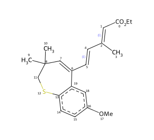 CCOC(=O)/C=C(C)/C=C/C1=CC(C)(C)CSc2ccc(OC)cc21